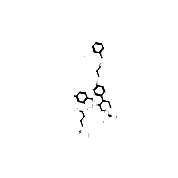 COCCCC(=O)Nc1cc(C)ccc1COC1CN(C(=O)O)CCC1c1ccc(OCCCOCc2ccccc2OC)cc1